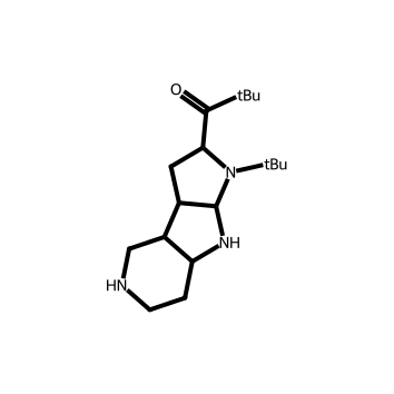 CC(C)(C)C(=O)C1CC2C3CNCCC3NC2N1C(C)(C)C